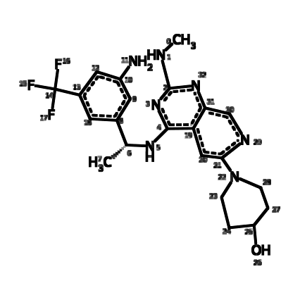 CNc1nc(N[C@H](C)c2cc(N)cc(C(F)(F)F)c2)c2cc(N3CCC(O)CC3)ncc2n1